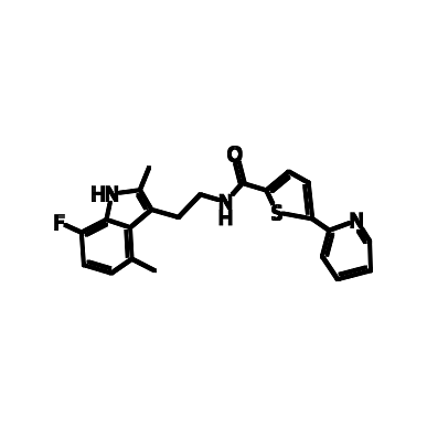 Cc1[nH]c2c(F)ccc(C)c2c1CCNC(=O)c1ccc(-c2ccccn2)s1